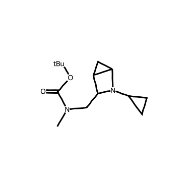 CN(CC1C2CC2N1C1CC1)C(=O)OC(C)(C)C